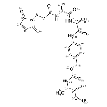 CC(C)[C@H](NC(=O)CCN1C(=O)C=CC1=O)C(=O)N[C@@H](C)C(=O)Nc1ccc(COC(=O)N[C@@H](C)C(=O)OC(C)(C)C)cc1